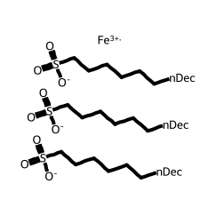 CCCCCCCCCCCCCCCCS(=O)(=O)[O-].CCCCCCCCCCCCCCCCS(=O)(=O)[O-].CCCCCCCCCCCCCCCCS(=O)(=O)[O-].[Fe+3]